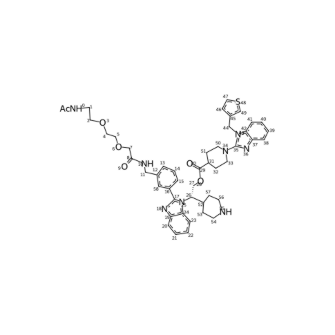 CC(=O)NCCOCCOCC(=O)NCc1cccc(-c2nc3ccccc3n2[C@H](COC(=O)C2CCN(c3nc4ccccc4n3Cc3ccsc3)CC2)C2CCNCC2)c1